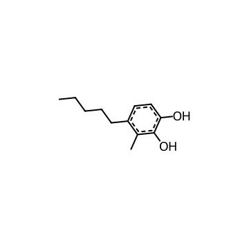 CCCCCc1ccc(O)c(O)c1C